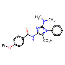 CCOc1ccc(C(=O)Nc2nc(N(C)C)n(-c3ccccc3)c2C(=O)O)cc1